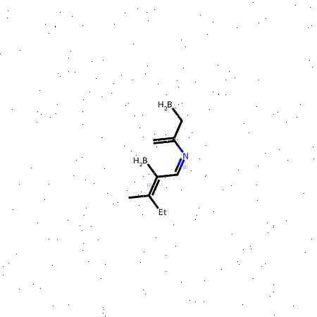 BCC(=C)/N=C\C(B)=C(\C)CC